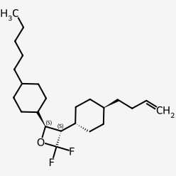 C=CCC[C@H]1CC[C@H]([C@H]2[C@H](C3CCC(CCCCC)CC3)OC2(F)F)CC1